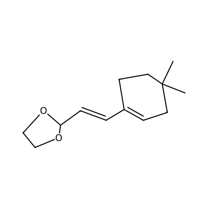 CC1(C)CC=C(C=CC2OCCO2)CC1